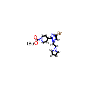 CC(C)(C)OC(=O)N1CCC(c2nc(Br)cn2CCN2CCCC2)CC1